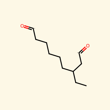 CCC(C[C]=O)CCCCC[C]=O